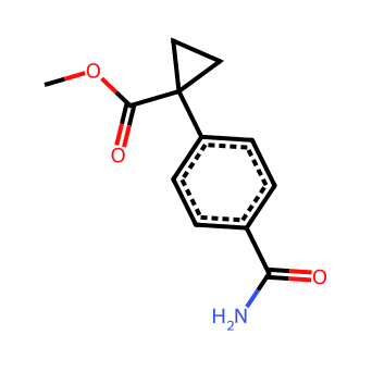 COC(=O)C1(c2ccc(C(N)=O)cc2)CC1